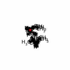 CC(C)(C)OC(=O)c1ccc(N(Cc2cncnc2)c2ccc(OC(F)F)c(OCc3ccccc3)c2)cc1.COc1ccc(N(Cc2cncnc2)c2cccc(C(=O)OC(C)(C)C)c2)cc1OC(C)C